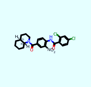 O=C(Nc1ccc(C(=O)N2CCC[C@@H]3CCCC[C@H]32)cc1[N+](=O)[O-])c1ccc(Cl)cc1Cl